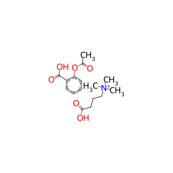 CC(=O)Oc1ccccc1C(=O)O.C[N+](C)(C)CCCC(=O)O